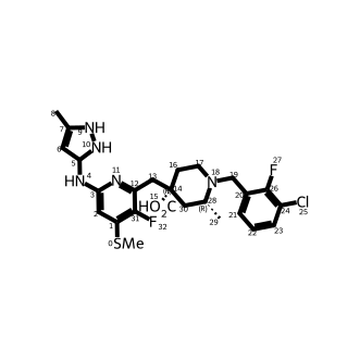 CSc1cc(NC2C=C(C)NN2)nc(C[C@@]2(C(=O)O)CCN(Cc3cccc(Cl)c3F)[C@H](C)C2)c1F